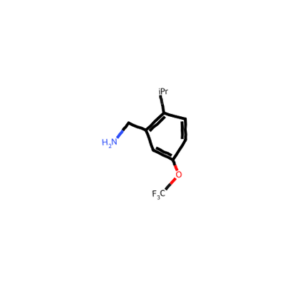 CC(C)c1ccc(OC(F)(F)F)cc1CN